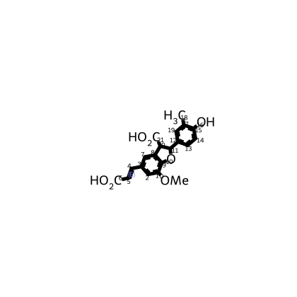 COc1cc(/C=C/C(=O)O)cc2c1OC(c1ccc(O)c(C)c1)C2C(=O)O